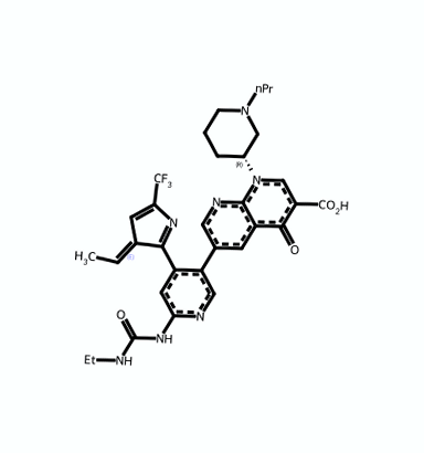 C/C=C1\C=C(C(F)(F)F)N=C1c1cc(NC(=O)NCC)ncc1-c1cnc2c(c1)c(=O)c(C(=O)O)cn2[C@@H]1CCCN(CCC)C1